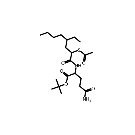 CCCCC(CC)CC(SC(C)=O)C(=O)NC(CCC(N)=O)C(=O)OC(C)(C)C